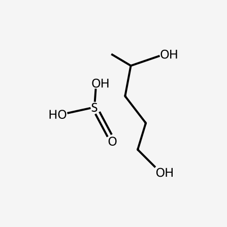 CC(O)CCCO.O=S(O)O